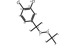 CC(C)(C)OOC(C)(C)c1ccc(Cl)c(Cl)c1